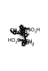 C=Cc1ccc(CSc2nnc(SC3=C(/C=C/C4=[N+](CCCS(=O)(=O)O)c5ccccc5C4(C)C)CCC/C3=C\C=C3\N(CCCS(=O)(=O)O)c4ccccc4C3(C)C)s2)cc1